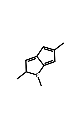 CC1=CC2=CC(C)P(C)C2=C1